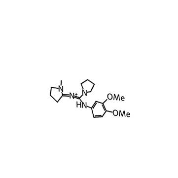 COc1ccc(NC(=[N+]=C2CCCN2C)N2CCCC2)cc1OC